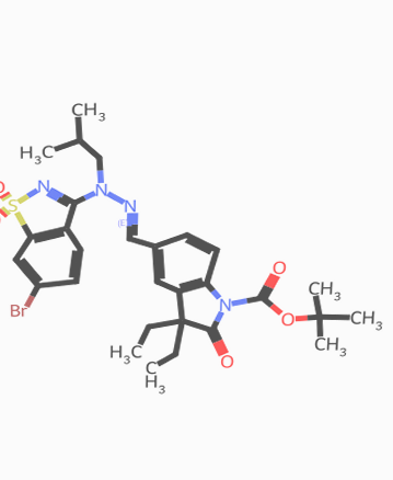 CCC1(CC)C(=O)N(C(=O)OC(C)(C)C)c2ccc(/C=N/N(CC(C)C)C3=NS(=O)(=O)c4cc(Br)ccc43)cc21